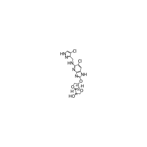 O[C@@H]1CO[C@H]2[C@@H]1OC[C@H]2Oc1nc2nc(NCc3n[nH]cc3Cl)c(Cl)cc2[nH]1